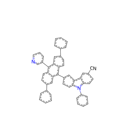 N#Cc1ccc2c(c1)c1cc(-c3c4ccc(-c5ccccc5)cc4c(-c4cccnc4)c4ccc(-c5ccccc5)cc34)ccc1n2-c1ccccc1